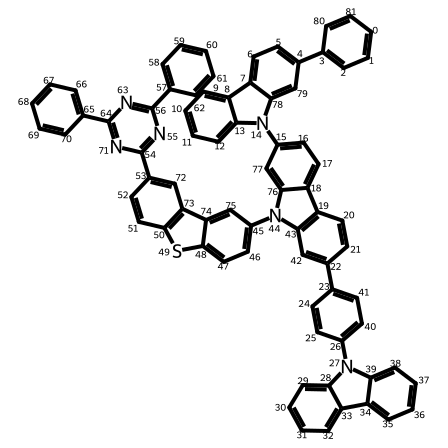 c1ccc(-c2ccc3c4ccccc4n(-c4ccc5c6ccc(-c7ccc(-n8c9ccccc9c9ccccc98)cc7)cc6n(-c6ccc7sc8ccc(-c9nc(-c%10ccccc%10)nc(-c%10ccccc%10)n9)cc8c7c6)c5c4)c3c2)cc1